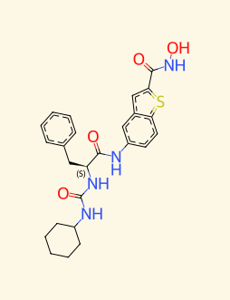 O=C(NC1CCCCC1)N[C@@H](Cc1ccccc1)C(=O)Nc1ccc2sc(C(=O)NO)cc2c1